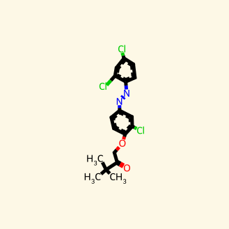 CC(C)(C)C(=O)COc1ccc(N=Nc2ccc(Cl)cc2Cl)cc1Cl